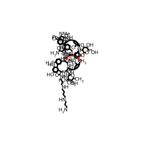 CN[C@H](CC(C)C)C(=O)N[C@H]1C(=O)N[C@@H](CC(N)=O)C(=O)N[C@H]2C(=O)N[C@H]3C(=O)N[C@H](C(=O)N[C@@H](C(=O)NCCCNCCCCNCCCN)c4cc(O)cc(O)c4-c4cc3ccc4C)[C@H](O[C@H]3C[C@](C)(N)[C@@H](O)[C@H](C)O3)c3ccc(c(Cl)c3)Oc3cc2cc(c3O[C@@H]2O[C@H](CO)[C@@H](O)[C@H](O)[C@H]2O[C@H]2C[C@](C)(NCc3ccc(-c4ccc(Cl)cc4)cc3)[C@@H](O)[C@H](C)O2)Oc2ccc(cc2Cl)[C@H]1O